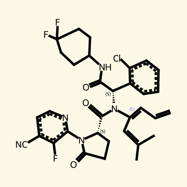 C=C/C=C(\C=C(C)C)N(C(=O)[C@@H]1CCC(=O)N1c1nccc(C#N)c1F)[C@H](C(=O)NC1CCC(F)(F)CC1)c1ccccc1Cl